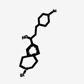 CCN1CCc2ccc(C(O)CCC3CCN(C(C)=O)CC3)cc2CC1